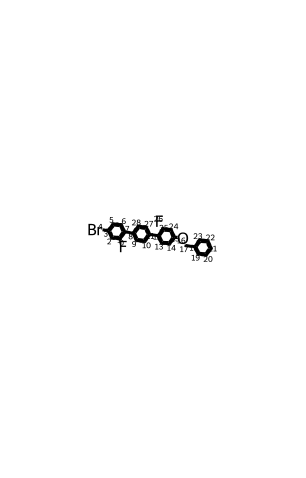 Fc1cc(Br)ccc1-c1ccc(-c2ccc(OCc3ccccc3)cc2F)cc1